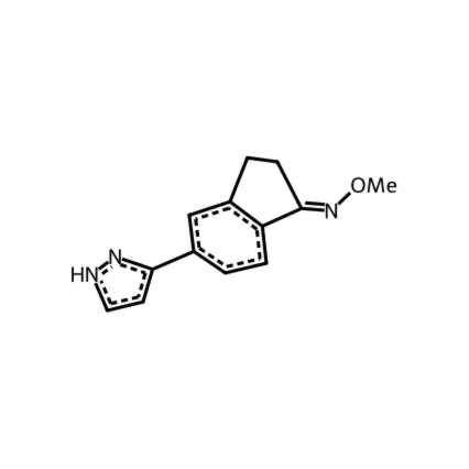 CON=C1CCc2cc(-c3cc[nH]n3)ccc21